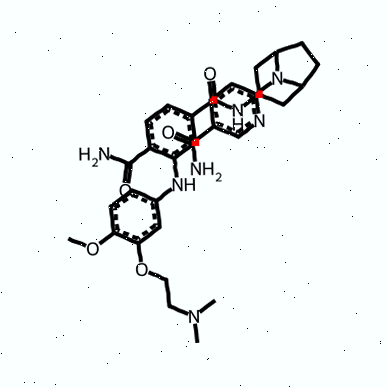 COc1ccc(Nc2cc(C(=O)NC3CC4CCC(C3)N4c3ccc(C(N)=O)cn3)ccc2C(N)=O)cc1OCCN(C)C